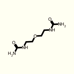 NC(=O)NCCOCCNC(N)=O